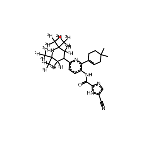 [2H]C([2H])([2H])C1(C([2H])([2H])[2H])NC(C([2H])([2H])[2H])(C([2H])([2H])[2H])C([2H])([2H])C(c2ccc(NC(=O)c3ncc(C#N)[nH]3)c(C3=CCC(C)(C)CC3)n2)C1([2H])[2H]